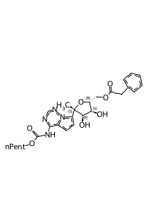 CCCCCOC(=O)Nc1ncnn2c([C@]3(C)O[C@H](COC(=O)Cc4ccccc4)[C@@H](O)[C@H]3O)ccc12